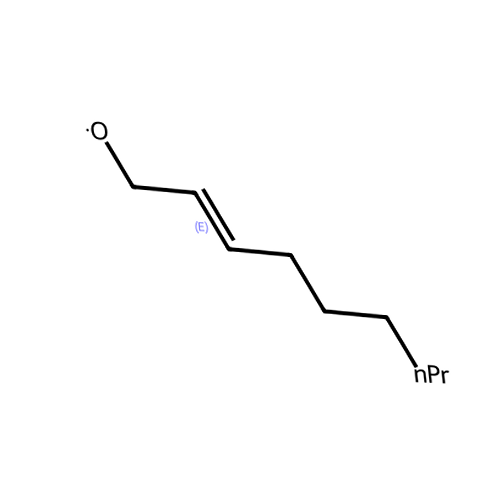 CCCCCC/C=C/C[O]